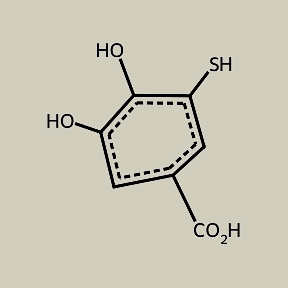 O=C(O)c1cc(O)c(O)c(S)c1